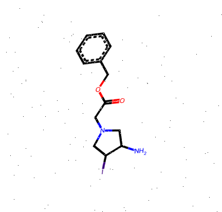 NC1CN(CC(=O)OCc2ccccc2)CC1I